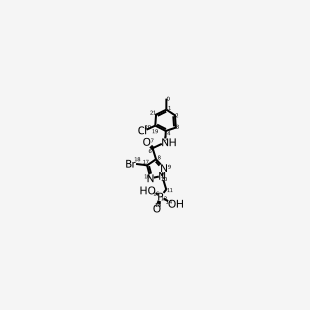 Cc1ccc(NC(=O)c2nn(CP(=O)(O)O)nc2Br)c(Cl)c1